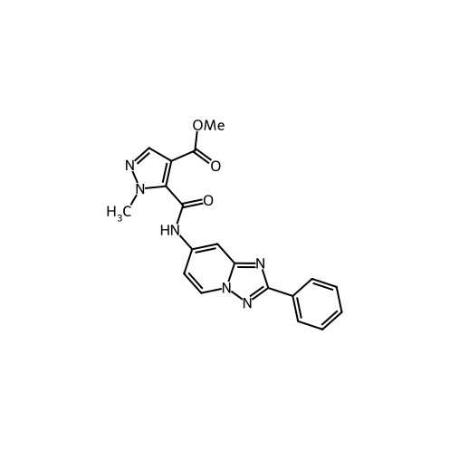 COC(=O)c1cnn(C)c1C(=O)Nc1ccn2nc(-c3ccccc3)nc2c1